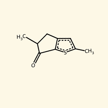 Cc1cc2c(s1)C(=O)C(C)C2